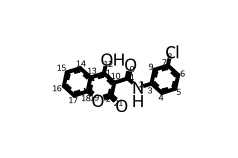 O=C(Nc1cccc(Cl)c1)c1c(O)c2ccccc2oc1=O